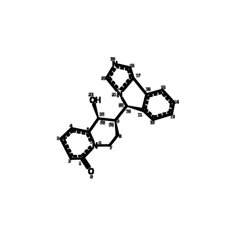 O=c1cccc2n1CC[C@H]([C@@H]1c3ccccc3-c3cncn31)[C@@H]2O